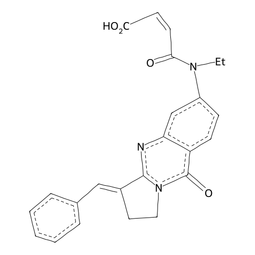 CCN(C(=O)/C=C\C(=O)O)c1ccc2c(=O)n3c(nc2c1)C(=Cc1ccccc1)CC3